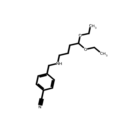 CCOC(CCCNCc1ccc(C#N)cc1)OCC